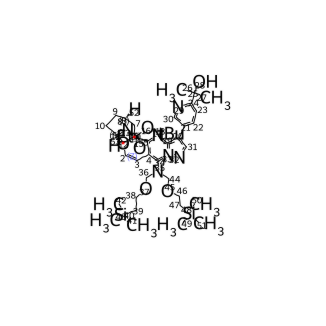 CCO/C=C\c1c([C@@H]2C[C@H]3CC[C@@H](C2)N3C(=O)OC(C)(C)C)nc2c(-c3ccc(C(C)(C)O)nc3)cnn2c1N(COCC[Si](C)(C)C)COCC[Si](C)(C)C